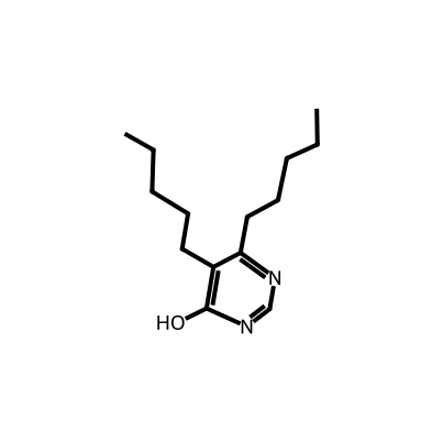 CCCCCc1ncnc(O)c1CCCCC